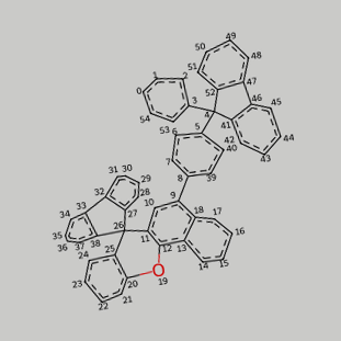 c1ccc(C2(c3ccc(-c4cc5c(c6ccccc46)Oc4ccccc4C54c5ccccc5-c5ccccc54)cc3)c3ccccc3-c3ccccc32)cc1